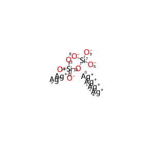 [Ag+].[Ag+].[Ag+].[Ag+].[Ag+].[Ag+].[O-][Si]([O-])([O-])O[Si]([O-])([O-])[O-]